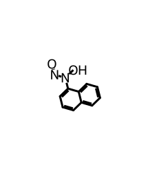 O=NN(O)c1cccc2ccccc12